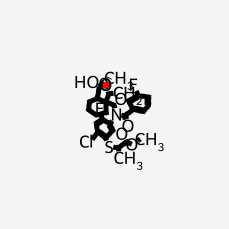 [CH2]C(OC)C1(C(=O)N(C(=O)c2cccc(F)c2)c2cc(SC(C)C(=O)OC)c(Cl)cc2F)CCCCC1C(=O)O